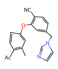 CC(=O)c1ccc(Oc2cc(Cn3ccnc3)ccc2C#N)cc1C